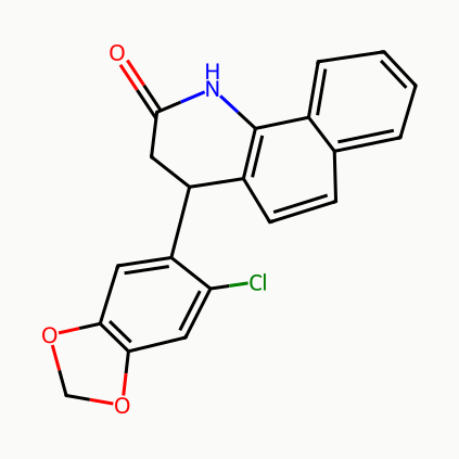 O=C1CC(c2cc3c(cc2Cl)OCO3)c2ccc3ccccc3c2N1